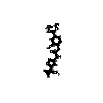 CC(C)OB(OC(C)(C)C)c1ccc(CC(=O)Nc2cc(C3(C(F)(F)F)CC3)on2)c(F)c1